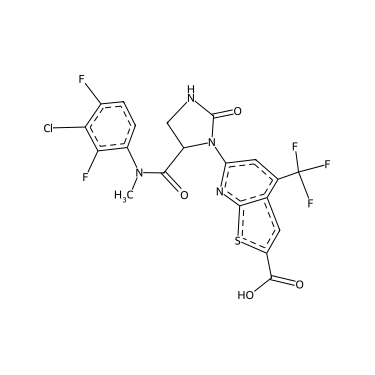 CN(C(=O)C1CNC(=O)N1c1cc(C(F)(F)F)c2cc(C(=O)O)sc2n1)c1ccc(F)c(Cl)c1F